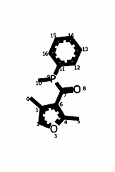 Cc1coc(C)c1C(=O)P(C)c1ccccc1